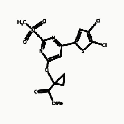 COC(=O)C1(Oc2cc(-c3cc(Cl)c(Cl)s3)nc(S(C)(=O)=O)n2)CC1